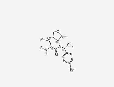 CC(C)C[C@H](NF)C(=O)N([C@@H]1C(=O)CO[C@@H]1C)[C@@H](c1ccc(Br)cc1)C(F)(F)F